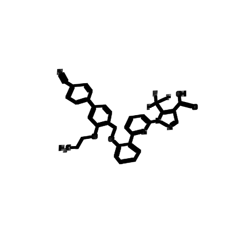 CCCOc1cc(-c2ccc(C#N)cc2)ccc1COc1ccccc1-c1cccc(-n2ncc(C(=O)O)c2C(F)(F)F)n1